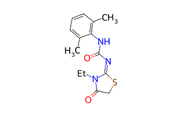 CCN1C(=O)CSC1=NC(=O)Nc1c(C)cccc1C